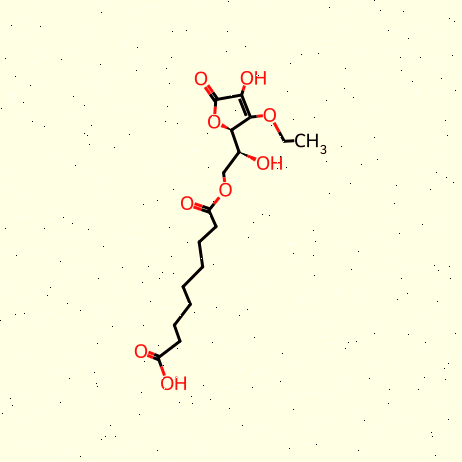 CCOC1=C(O)C(=O)O[C@@H]1[C@@H](O)COC(=O)CCCCCCCC(=O)O